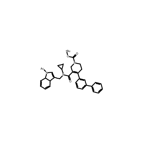 CC(=O)N1C=C(CN(C(=O)C2=C(c3cccc(-c4ccccc4)c3)CCN(C(=O)OC(C)(C)C)C2)C2CC2)C2C=CC=CC21